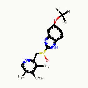 [2H]C([2H])([2H])Oc1ccc2[nH]c([S@@+]([O-])Cc3ncc(C)c(OC)c3C)nc2c1